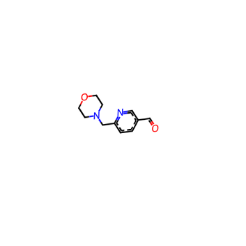 O=Cc1ccc(CN2CCOCC2)nc1